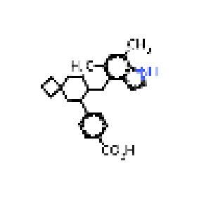 Cc1cc(C)c2[nH]ccc2c1CC1CCC2(CCC2)CC1c1ccc(C(=O)O)cc1